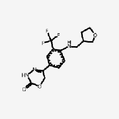 O=C1NN=C(c2ccc(NCC3CCOC3)c(C(F)(F)F)c2)CO1